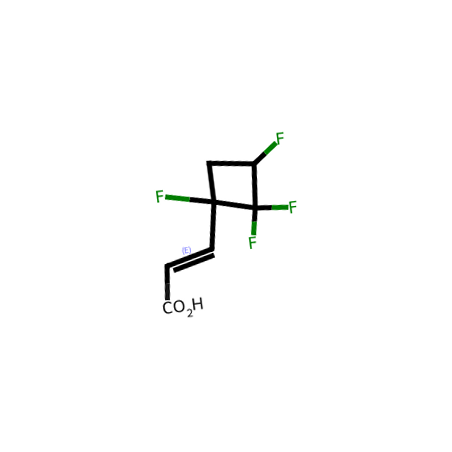 O=C(O)/C=C/C1(F)CC(F)C1(F)F